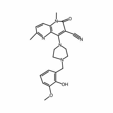 COc1cccc(CN2CCN(c3c(C#N)c(=O)n(C)c4ccc(C)nc34)CC2)c1O